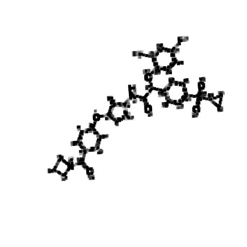 O=C(Nc1ncc(Oc2ccc(C(=O)N3CCC3)cc2)s1)C(Oc1ccc(F)cc1F)c1ccc(S(=O)(=O)C2CC2)cc1